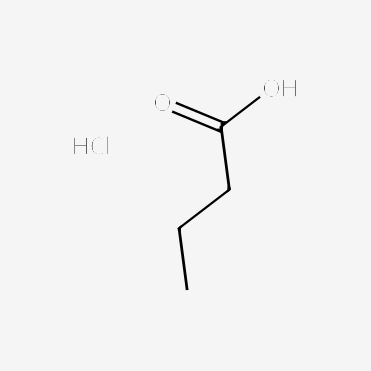 CCCC(=O)O.Cl